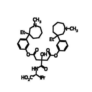 CCC1(c2cccc(OC(=O)CC(O)(CC(=O)Oc3cccc(C4(CC)CCCCN(C)C4)c3)C(=O)N[C@H](C(=O)O)C(C)C)c2)CCCCN(C)C1